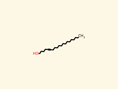 CCCCCCCCCCCCCCC#CCCCCO